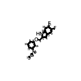 Fc1cc2cc(COc3cccc(N=C=S)c3)[nH]c2cc1F